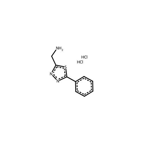 Cl.Cl.NCc1nnc(-c2ccccc2)s1